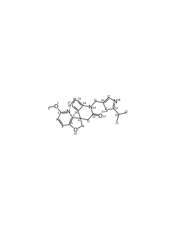 COc1ccc2c(n1)C1(CO2)CC(=O)N(Cc2cnc(C(C)C)s2)c2ccccc21